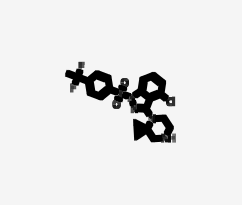 CC(F)(F)c1ccc(S(=O)(=O)n2nc(N3CCNCC34CC4)c3c(Cl)cccc32)cc1